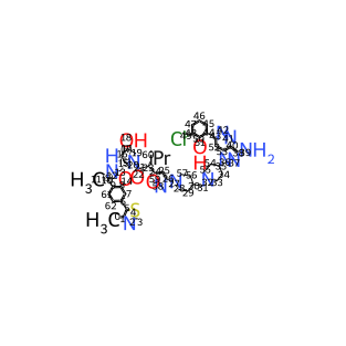 Cc1ncsc1-c1ccc([C@H](C)NC(=O)[C@@H]2C[C@@H](O)CN2C(=O)C(c2cc(N3CCC(CN4CCC(n5nc(N)c6nnc(-c7cccc(Cl)c7O)cc65)CC4)CC3)no2)C(C)C)cc1